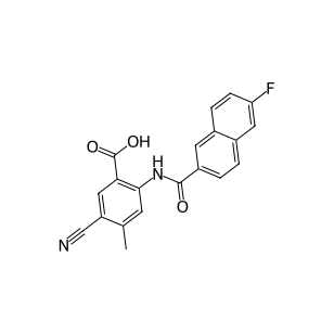 Cc1cc(NC(=O)c2ccc3cc(F)ccc3c2)c(C(=O)O)cc1C#N